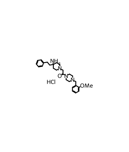 COc1ccccc1CN1CCN(C(=O)CN2CCC(N)(CCc3ccccc3)CC2)CC1.Cl